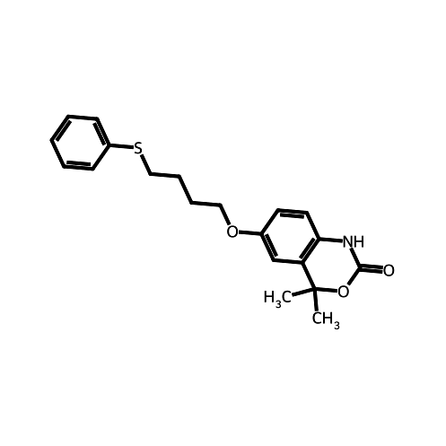 CC1(C)OC(=O)Nc2ccc(OCCCCSc3ccccc3)cc21